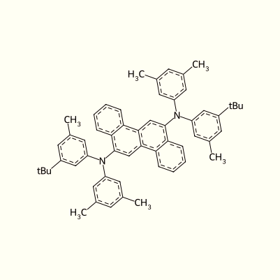 Cc1cc(C)cc(N(c2cc(C)cc(C(C)(C)C)c2)c2cc3c4ccccc4c(N(c4cc(C)cc(C)c4)c4cc(C)cc(C(C)(C)C)c4)cc3c3ccccc23)c1